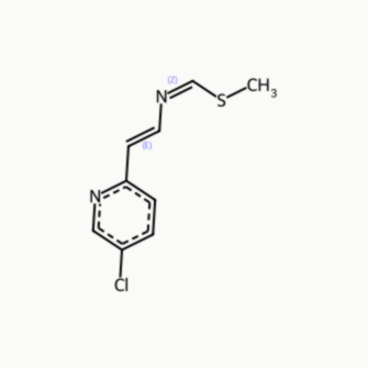 CS/C=N\C=C\c1ccc(Cl)cn1